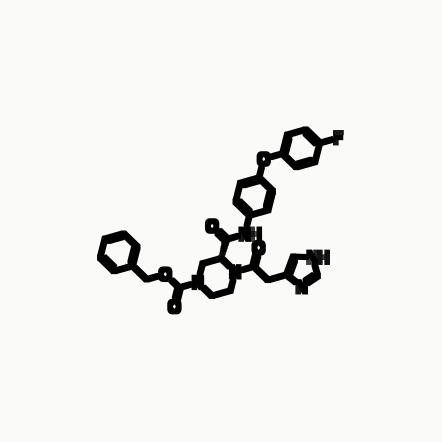 O=C(Nc1ccc(Oc2ccc(F)cc2)cc1)[C@@H]1CN(C(=O)OCc2ccccc2)CCN1C(=O)Cc1c[nH]cn1